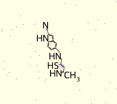 CC(=N)/C=C(\S)CNCc1ccc2[nH]c(C#N)cc2c1